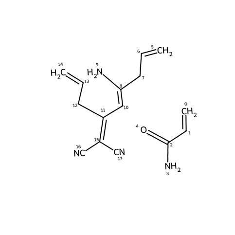 C=CC(N)=O.C=CCC(N)=CC(CC=C)=C(C#N)C#N